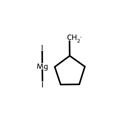 [CH2]C1CCCC1.[I][Mg][I]